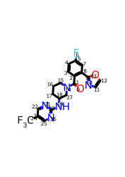 O=C(c1ccc(F)cc1-c1ncco1)N1CCCC(Nc2ncc(C(F)(F)F)cn2)C1